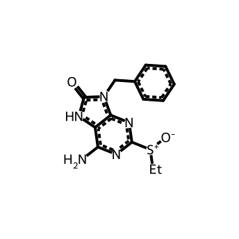 CC[S+]([O-])c1nc(N)c2[nH]c(=O)n(Cc3ccccc3)c2n1